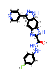 O=C(NNc1ccc(F)cc1)c1nc2cc3c(-c4ccncc4)n[nH]c3cc2[nH]1